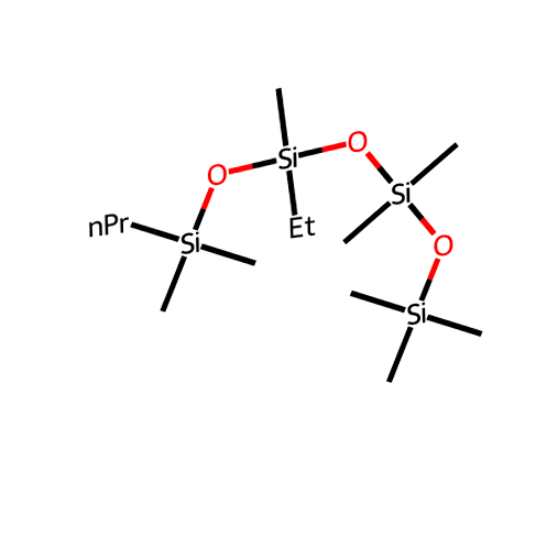 CCC[Si](C)(C)O[Si](C)(CC)O[Si](C)(C)O[Si](C)(C)C